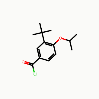 CC(C)Oc1ccc(C(=O)Cl)cc1C(C)(C)C